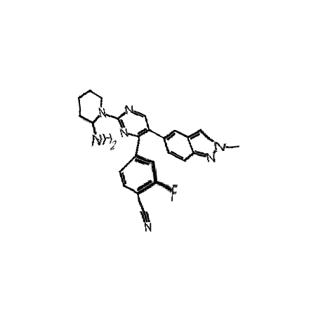 Cn1cc2cc(-c3cnc(N4CCCCC4N)nc3-c3ccc(C#N)c(F)c3)ccc2n1